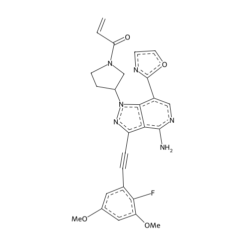 C=CC(=O)N1CCC(n2nc(C#Cc3cc(OC)cc(OC)c3F)c3c(N)ncc(-c4ncco4)c32)C1